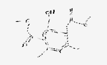 COC(=O)c1c(C)nc(C)c(C(=O)OC)c1O